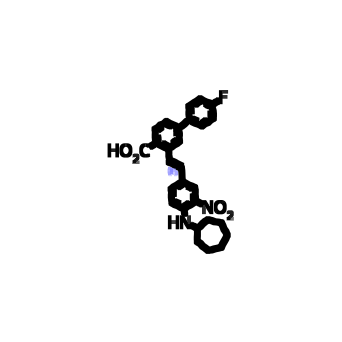 O=C(O)c1ccc(-c2ccc(F)cc2)cc1/C=C/c1ccc(NC2CCCCCC2)c([N+](=O)[O-])c1